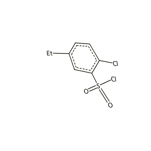 CCc1ccc(Cl)c(S(=O)(=O)Cl)c1